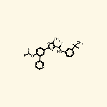 Cc1oc(-c2ccc(OC(F)F)c(-c3cccnc3)c2)nc1C(=O)Nc1cccc(C(C)(F)F)c1